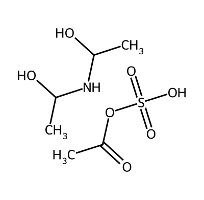 CC(=O)OS(=O)(=O)O.CC(O)NC(C)O